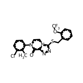 Cc1c(Cl)cccc1-n1ccn2c(SCc3ccccc3OC(F)(F)F)nnc2c1=O